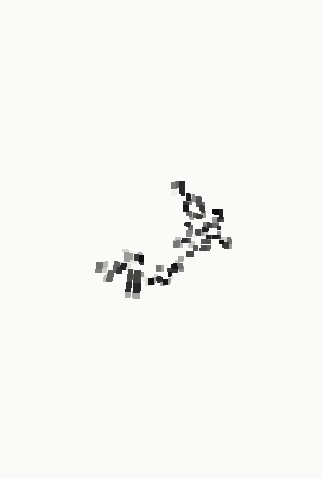 N=C(N)NCCc1ccc(OCCC2Oc3c(Cl)cc(Cl)cc3N(Cc3cccc(Cl)c3)C2=O)cc1